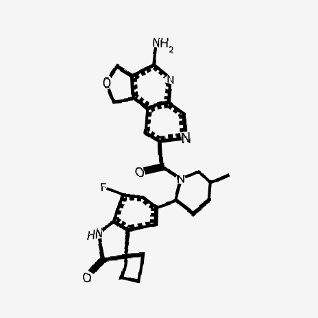 CC1CCC(c2cc(F)c3c(c2)C2(CCC2)C(=O)N3)N(C(=O)c2cc3c4c(c(N)nc3cn2)COC4)C1